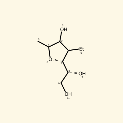 CCC1C(O)C(C)O[C@H]1[C@H](O)CO